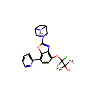 CC(C)(O)C(F)(F)Oc1ccc(-c2ccccn2)c2oc(N3CC4CC(C3)N4C(=O)O)nc12